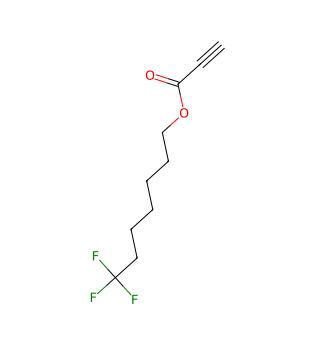 C#CC(=O)OCCCCCCC(F)(F)F